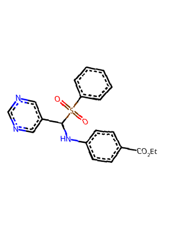 CCOC(=O)c1ccc(NC(c2cncnc2)S(=O)(=O)c2ccccc2)cc1